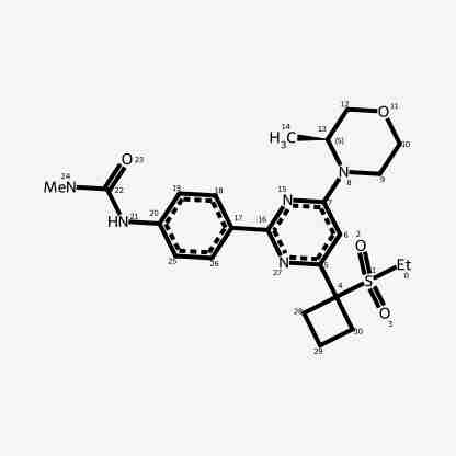 CCS(=O)(=O)C1(c2cc(N3CCOC[C@@H]3C)nc(-c3ccc(NC(=O)NC)cc3)n2)CCC1